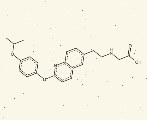 CC(C)Oc1ccc(Oc2ccc3cc(CCNCC(=O)O)ccc3n2)cc1